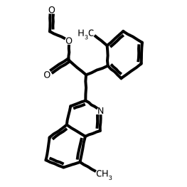 Cc1ccccc1C(C(=O)OC=O)c1cc2cccc(C)c2cn1